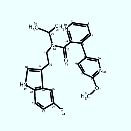 COc1ccc(-c2cccnc2C(=O)N(CCc2c[nH]c3ccc(F)cc23)C(C)C)cn1